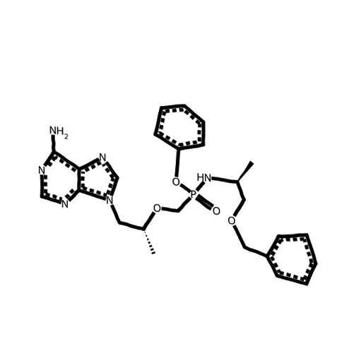 C[C@H](Cn1cnc2c(N)ncnc21)OCP(=O)(N[C@@H](C)COCc1ccccc1)Oc1ccccc1